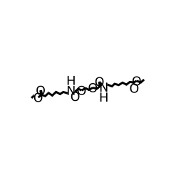 CCOC(=O)CCCCCCCNC(=O)COCCOCC(=O)NCCCCCCCC(=O)OCC